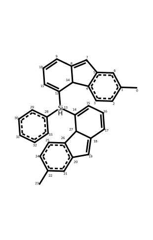 Cc1ccc2c(c1)[C]=C1C=CC=C([SiH](C3=CC=CC4=[C]c5cc(C)ccc5C43)c3ccccc3)C12